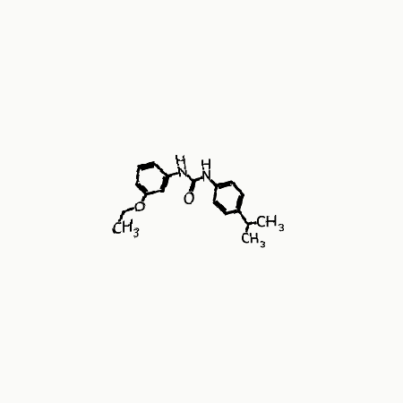 CCOc1cccc(NC(=O)Nc2ccc(C(C)C)cc2)c1